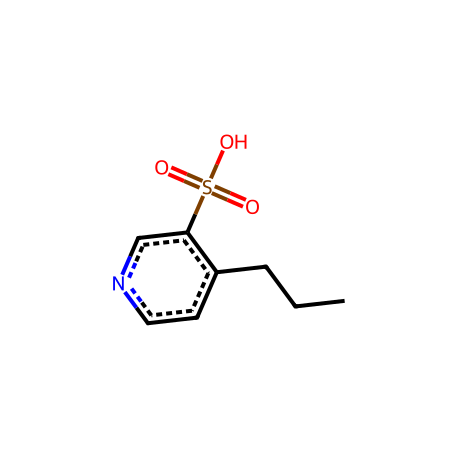 CCCc1ccncc1S(=O)(=O)O